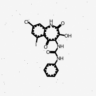 O=C(Nc1ccccc1)Nc1c(O)c(=O)[nH]c2cc(Cl)cc(I)c2c1=O